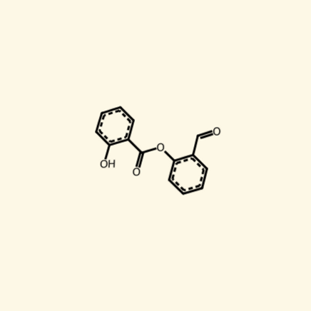 O=Cc1ccccc1OC(=O)c1ccccc1O